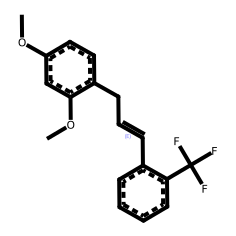 COc1ccc(C/C=C/c2ccccc2C(F)(F)F)c(OC)c1